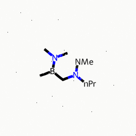 CCCN(CB(C)N(C)C)NC